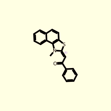 CN1/C(=C\C(=O)c2ccccc2)Sc2ccc3ccccc3c21